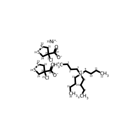 CCCC[N+](CCCC)(CCCC)CCCC.O=C([O-])C1(Cl)CSSC1.O=C([O-])C1(Cl)CSSC1.[Ni+]